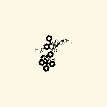 CCOC(=O)CN1N=C(C2CCCCC2)c2ccc(C)cc2N(c2ccc(NC(c3ncc[nH]3)C(c3ccccc3)(c3ccccc3)c3ccccc3)cc2)C1=O